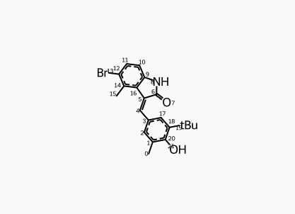 Cc1cc(C=C2C(=O)Nc3ccc(Br)c(C)c32)cc(C(C)(C)C)c1O